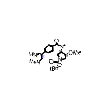 CN/C=C(\C=N)c1ccc(C(=O)N(C)[C@H]2CN(C(=O)OC(C)(C)C)C[C@@H]2OC)cc1